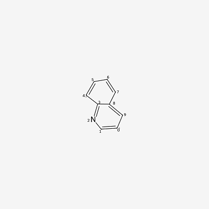 [c]1cnc2[c]cccc2c1